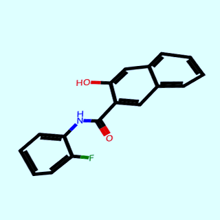 O=C(Nc1ccccc1F)c1cc2ccccc2cc1O